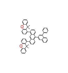 CC1(C)c2ccccc2Oc2cccc(-c3cccc4c(-c5cc(-c6ccccc6)c6ccccc6c5)c5cccc(-c6cccc7c6C(C)(C)c6ccccc6O7)c5cc34)c21